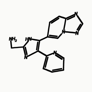 NCc1nc(-c2ccccn2)c(-c2ccc3ncnn3c2)[nH]1